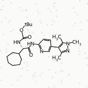 Cc1nn(C)c(C)c1-c1ccc(NC(=O)[C@@H](NC(=O)OC(C)(C)C)C2CCCCCC2)nc1